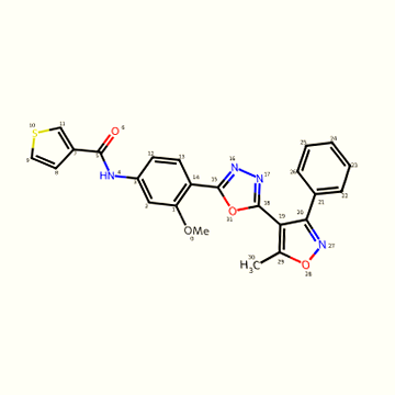 COc1cc(NC(=O)c2ccsc2)ccc1-c1nnc(-c2c(-c3ccccc3)noc2C)o1